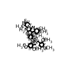 COc1ccc(CN(Cc2ccc(OC)cc2OC)S(=O)(=O)c2cc(-c3c(C(N)=O)c(N4CCC(F)(F)C(C)C4)nc4c3C(C)(C)CC(C)(C)C4)ccn2)c(OC)c1